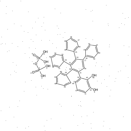 O=P(O)(O)OP(=O)(O)O.Oc1cccc(-c2cc(-c3ccccc3)c(-c3ccccc3)c(-c3ccccc3)c2-c2ccccc2)c1O